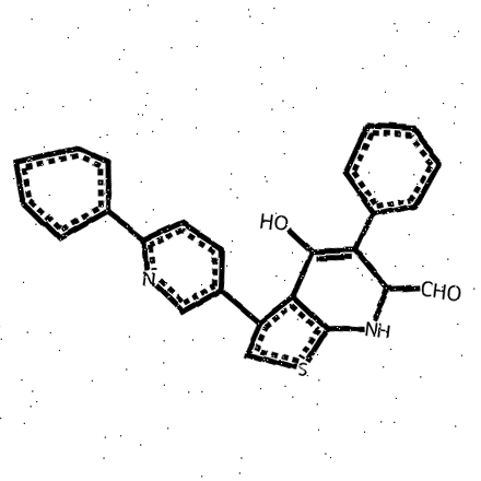 O=CC1Nc2scc(-c3ccc(-c4ccccc4)nc3)c2C(O)=C1c1ccccc1